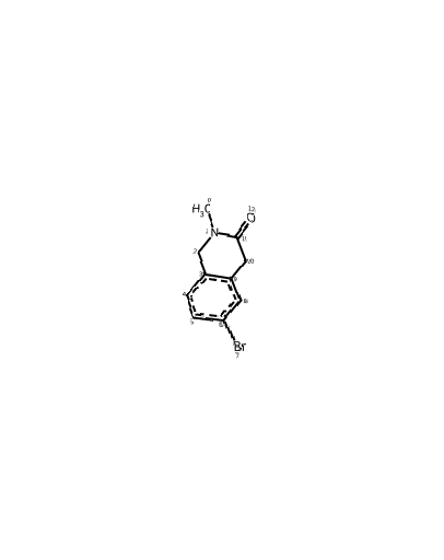 CN1Cc2ccc(Br)cc2CC1=O